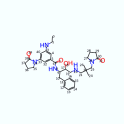 CCNc1cc(C(=O)NC(Cc2ccccc2)C(O)CNCC(C)(C)CN2CCCC2=O)cc(N2CCCC2=O)c1